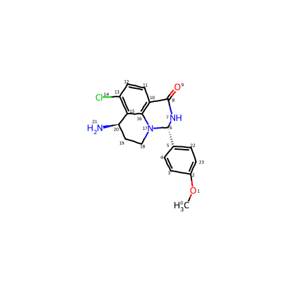 COc1ccc([C@H]2NC(=O)c3ccc(Cl)c4c3N2CC[C@H]4N)cc1